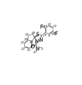 CN(C)C(=O)N1N=C(c2cc(F)ccc2F)SC12CCc1ccccc12